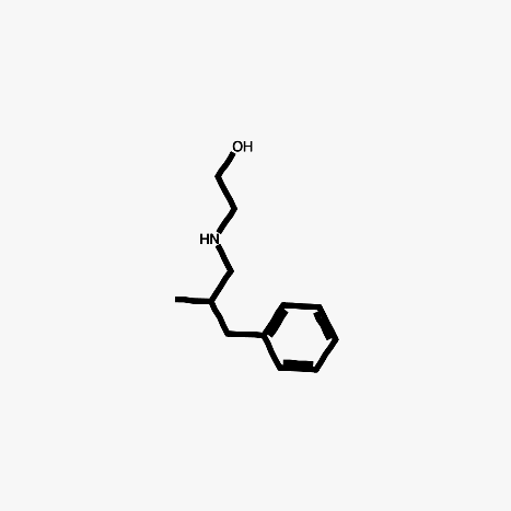 CC(CNCCO)Cc1ccccc1